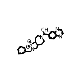 CC(c1ccc2nccnc2c1)N1CCC2CN(Cc3ccccc3)S(=O)(=O)C2CC1